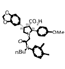 CCCCN(C(=O)CN1C[C@H](c2ccc3c(c2)OCO3)[C@H](C(=O)O)[C@H]1c1ccc(OC)cc1)c1ccc(C)c(C)c1